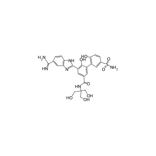 N=C(N)c1ccc2[nH]c(-c3cc(C(=O)NC(CO)(CO)CO)cc(-c4cc(S(N)(=O)=O)ccc4O)c3O)nc2c1